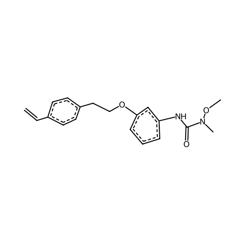 C=Cc1ccc(CCOc2cccc(NC(=O)N(C)OC)c2)cc1